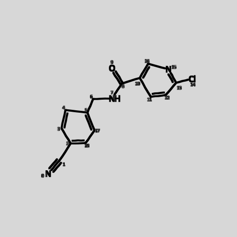 N#Cc1ccc(CNC(=O)c2ccc(Cl)nc2)cc1